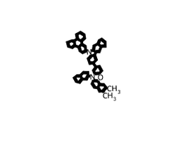 Cc1cc2ccc3c(c2cc1C)Oc1ccc(-c2ccc4c(c2)c2cc5ccccc5cc2n4-c2ccc4c5ccccc5c5ccccc5c4c2)cc1N3c1ccc2ccccc2c1